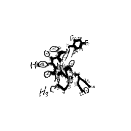 C[C@H]1CC[C@]2(CC(=O)N(CC3CCOCC3)O2)[C@H]2CN1C(=O)c1c(O)c(=O)c(C(=O)NCc3c(F)cc(F)cc3F)cn12